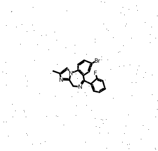 Cc1cn2c(n1)CN=C(c1ccccc1F)c1cc(Br)ccc1-2